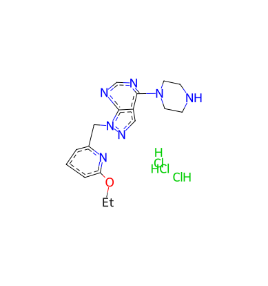 CCOc1cccc(Cn2ncc3c(N4CCNCC4)ncnc32)n1.Cl.Cl.Cl